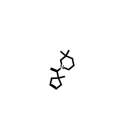 C=C(N1CCCC(C)(C)C1)C1(C)CC=CC1